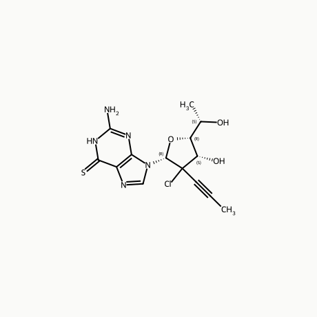 CC#CC1(Cl)[C@@H](O)[C@@H]([C@H](C)O)O[C@H]1n1cnc2c(=S)[nH]c(N)nc21